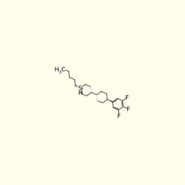 CCCCC[Si@H]1CC[C@H]([C@H]2CC[C@H](c3cc(F)c(F)c(F)c3)CC2)CC1